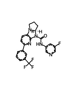 O=C(Nc1cncc(F)c1)N1c2nc(-c3cccc(C(F)(F)F)c3)ccc2N2CCC[C@H]21